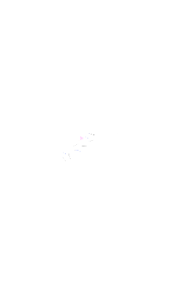 CCCCCCCc1c(C)[nH]c(/C=C2/N=C(c3ccc[nH]3)C=C2OC)c1CCC